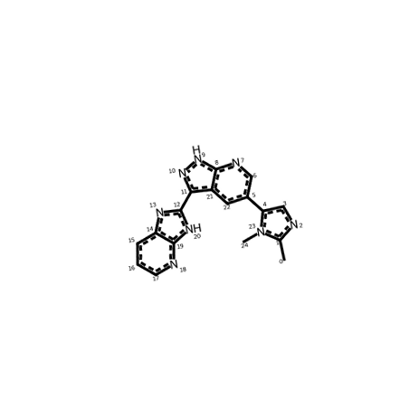 Cc1ncc(-c2cnc3[nH]nc(-c4nc5cccnc5[nH]4)c3c2)n1C